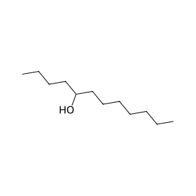 CCCCCCCC(O)CCCC